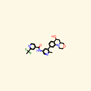 Cc1ncc(NC(=O)c2ccnc(C(C)(F)F)c2)cc1-c1ccc2c(c1)N1CCOCC1CC2O